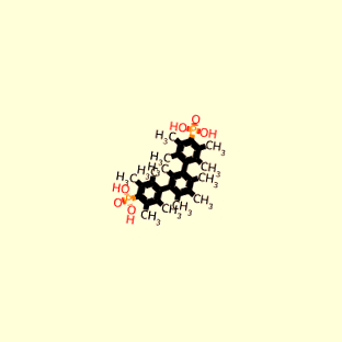 Cc1c(C)c(-c2c(C)c(C)c(P(=O)(O)O)c(C)c2C)c(C)c(-c2c(C)c(C)c(P(=O)(O)O)c(C)c2C)c1C